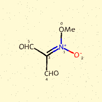 CO[N+]([O-])=C(C=O)C=O